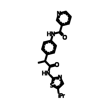 CC(C)c1cnc(NC(=O)C(C)c2ccc(NC(=O)c3cccnc3)cc2)s1